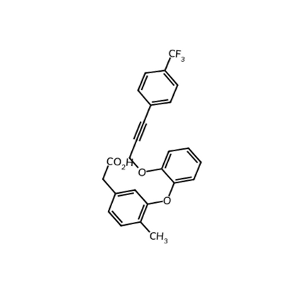 Cc1ccc(CC(=O)O)cc1Oc1ccccc1OCC#Cc1ccc(C(F)(F)F)cc1